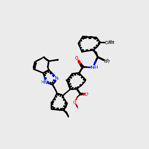 CCCC(NC(=O)c1ccc(-c2cc(C)ccc2-c2nc3c([nH]2)C=CCC3C)c(C(=O)OI)c1)c1ccccc1OC